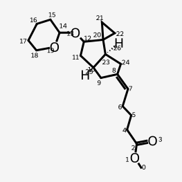 COC(=O)CCC/C=C1\C[C@H]2CC(OC3CCCCO3)C3(CC3)[C@H]2C1